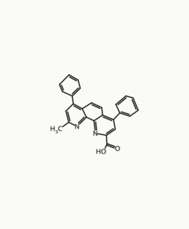 Cc1cc(-c2ccccc2)c2ccc3c(-c4ccccc4)cc(C(=O)O)nc3c2n1